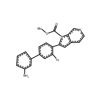 [2H]c1cc(-c2cccc(N)c2)ccc1-c1cc2ccncc2n1C(=O)OC(C)(C)C